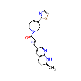 C=C1CCc2cc(/C=C/C(=O)N3CCC=C(c4nccs4)CC3)cnc2N1